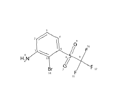 Nc1cccc(S(=O)(=O)C(F)(F)F)c1Br